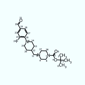 CC(C)(C)OC(=O)N1CCN(CC2CCN(c3ccc(C=O)cc3F)CC2)CC1